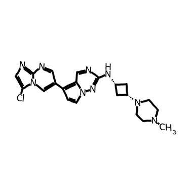 CN1CCN([C@H]2C[C@@H](Nc3ncc4c(-c5cnc6ncc(Cl)n6c5)ccn4n3)C2)CC1